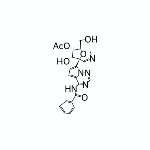 C/N=C\[C@@]1(c2ccc3c(NC(=O)c4ccccc4)ncnn23)O[C@H](CO)[C@@H](OC(C)=O)[C@H]1O